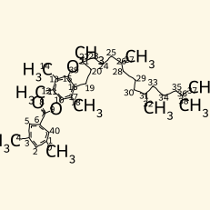 Cc1cc(C)cc(C(=O)Oc2c(C)c(C)c3c(c2C)CCC(C)(CCCC(C)CCCC(C)CCCC(C)C)O3)c1